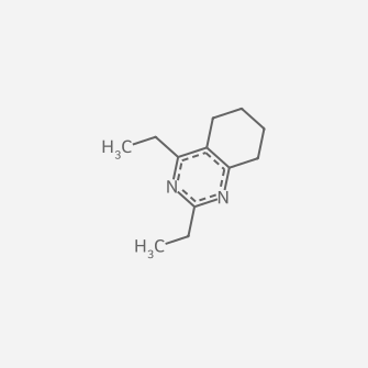 CCc1nc(CC)c2c(n1)CCCC2